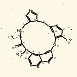 C[C@@H]1NCc2cncn2Cc2ccc(C#N)c(c2)Oc2ccc3cccc(c3c2)N(C)C1=O